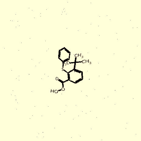 CC(C)(C)c1cccc(C(=O)OO)c1Sc1ccccc1